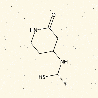 C[C@H](S)NC1CCNC(=O)C1